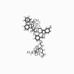 C[C@@H]1Cc2c([nH]c3ccc(F)cc23)[C@@H](c2c(F)ccc(OCCN(CCCF)C(=O)OC(C)(C)C)c2F)N1CC(F)(F)CO[Si](c1ccccc1)(c1ccccc1)C(C)(C)C